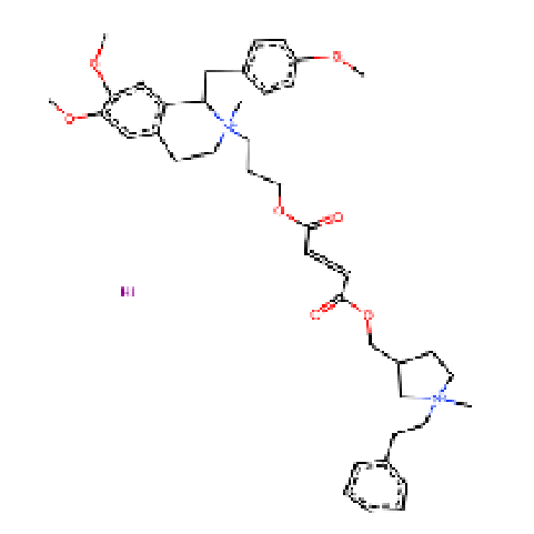 COc1ccc(CC2c3cc(OC)c(OC)cc3CC[N+]2(C)CCCOC(=O)C=CC(=O)OCC2CC[N+](C)(CCc3ccccc3)C2)cc1.I